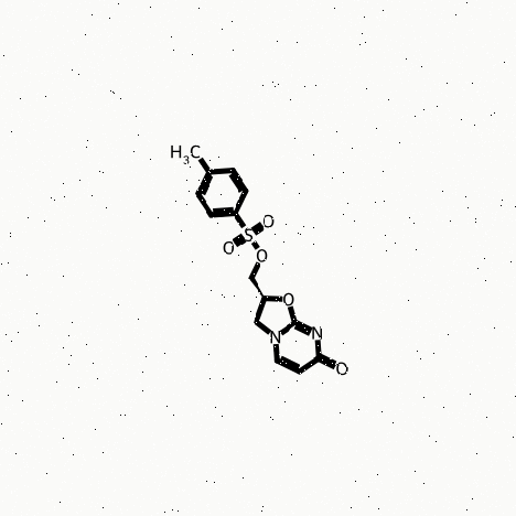 Cc1ccc(S(=O)(=O)OC[C@@H]2Cn3ccc(=O)nc3O2)cc1